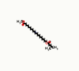 COC(=O)CCCCCCCC/C=C/CCCCCCCCCOC(=O)CCC(C)C